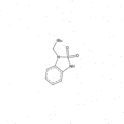 CC(C)(C)CN1c2ccccc2NS1(=O)=O